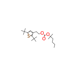 CCCCC(C)(C)OC(=O)OCCc1cc(C(C)(C)C)sc1C(C)(C)C